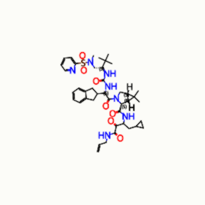 C=CCNC(=O)C(=O)C(CC1CC1)NC(=O)[C@@H]1[C@@H]2[C@H](CN1C(=O)[C@@H](NC(=O)N[C@H](CN(C)S(=O)(=O)c1ccccn1)C(C)(C)C)C1Cc3ccccc3C1)C2(C)C